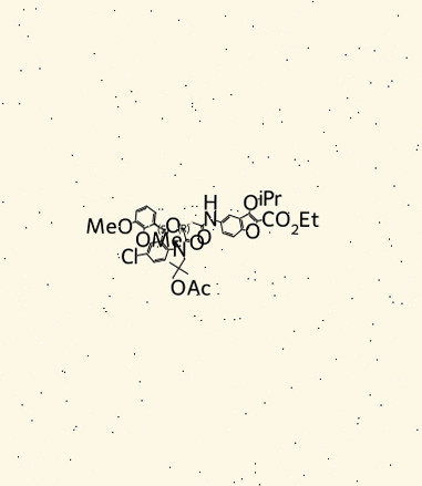 CCOC(=O)c1oc2ccc(NC(=O)C[C@H]3O[C@H](c4cccc(OC)c4OC)c4cc(Cl)ccc4N(CC(C)(C)COC(C)=O)C3=O)cc2c1OC(C)C